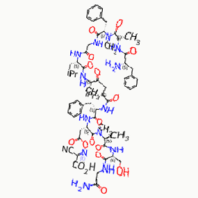 CC(C)C[C@H](NC(=O)CNC(=O)[C@H](Cc1ccccc1)N(C)C(=O)[C@H](C)NC(=O)[C@@H](N)Cc1ccccc1)C(=O)N[C@@H](C)C(=O)C[C@H](C(=O)N[C@@H](Cc1ccccc1)C(=O)N[C@@H](CC(=O)O/N=C(\C#N)C(=O)O)C(=O)N(C)[C@@H](C)C(=O)N[C@@H](CO)C(=O)NCC(N)=O)C(C)C